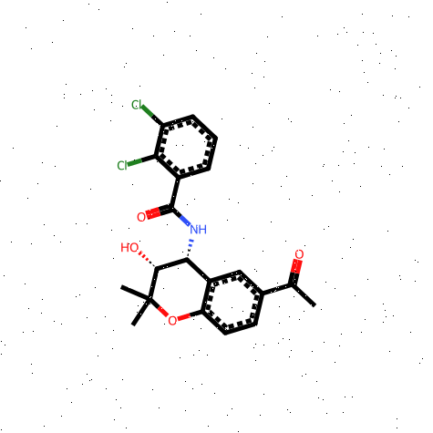 CC(=O)c1ccc2c(c1)[C@@H](NC(=O)c1cccc(Cl)c1Cl)[C@@H](O)C(C)(C)O2